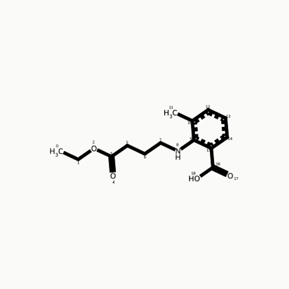 CCOC(=O)CCCNc1c(C)cccc1C(=O)O